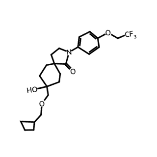 O=C1N(c2ccc(OCC(F)(F)F)cc2)CCC12CCC(O)(COCC1CCC1)CC2